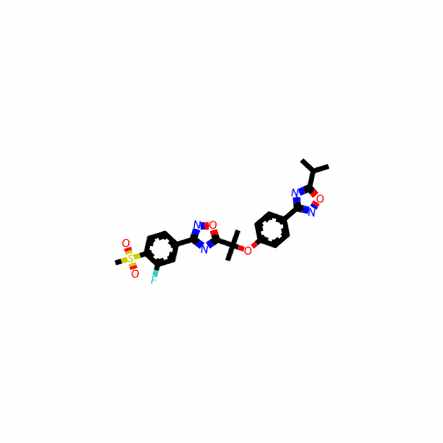 CC(C)c1nc(-c2ccc(OC(C)(C)c3nc(-c4ccc(S(C)(=O)=O)c(F)c4)no3)cc2)no1